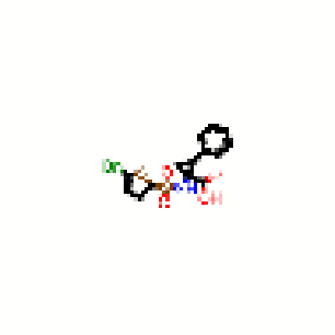 O=C(O)C1(NS(=O)(=O)C2CC=C(Br)S2)CC1c1ccccc1